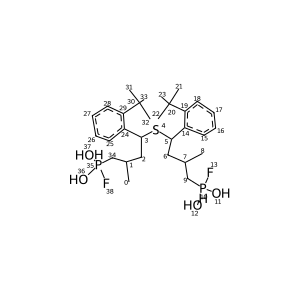 CC(CC(SC(CC(C)C[PH](O)(O)F)c1ccccc1C(C)(C)C)c1ccccc1C(C)(C)C)C[PH](O)(O)F